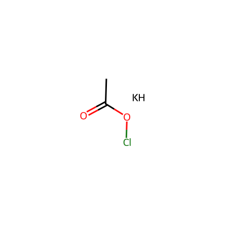 CC(=O)OCl.[KH]